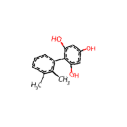 Cc1cccc(-c2c(O)cc(O)cc2O)c1C